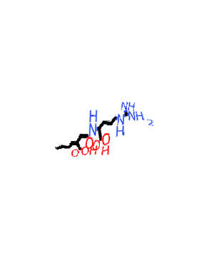 CCCCC(CC(=O)NC(CCCNC(=N)N)C(=O)O)C(=O)O